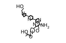 C[C@@H](O)C(=O)N1CCC(c2nc3c(-c4ccc(-c5ccn(CCO)c5)nc4)cnn3c(N)c2C=O)CC1